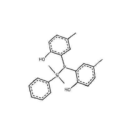 Cc1ccc(O)c(P(c2cc(C)ccc2O)[Si](C)(C)c2ccccc2)c1